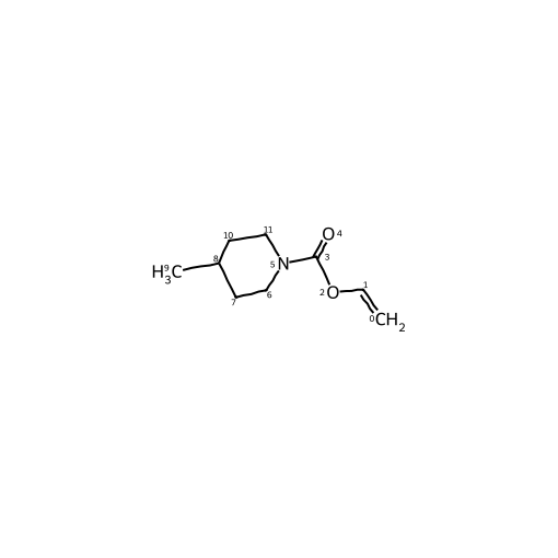 C=COC(=O)N1CCC(C)CC1